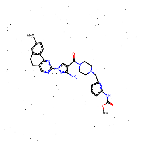 COc1ccc2c(c1)CCc1cnc(-n3cc(C(=O)N4CCN(Cc5cccc(NC(=O)OC(C)(C)C)n5)CC4)c(N)n3)nc1-2